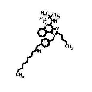 CCCCCCCCNCc1ccc(Cn2c(CCCC)nc3c(NC(C)(C)C)nc4ccccc4c32)cc1